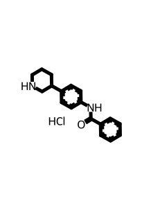 Cl.O=C(Nc1ccc(C2CCCNC2)cc1)c1ccccc1